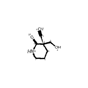 C#C[C@@]1(CO)CCCNC1=O